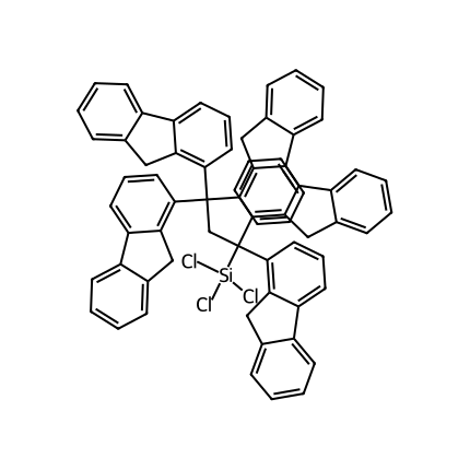 Cl[Si](Cl)(Cl)C(CC(c1cccc2c1Cc1ccccc1-2)(c1cccc2c1Cc1ccccc1-2)c1cccc2c1Cc1ccccc1-2)(c1cccc2c1Cc1ccccc1-2)c1cccc2c1Cc1ccccc1-2